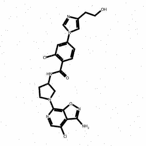 Nc1noc2c(N3CCC(NC(=O)c4ccc(-n5cnc(CCO)c5)cc4Cl)C3)ncc(Cl)c12